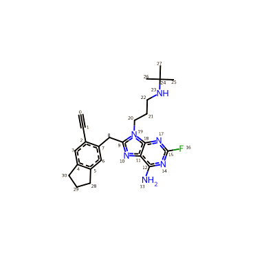 C#Cc1cc2c(cc1Cc1nc3c(N)nc(F)nc3n1CCCNC(C)(C)C)CCC2